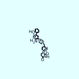 Nc1nnc(-c2ccccc2O)cc1N1CCN(Cc2ccc(N3CCC(=O)NC3=O)nn2)CC1